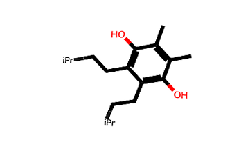 Cc1c(C)c(O)c(CCC(C)C)c(CCC(C)C)c1O